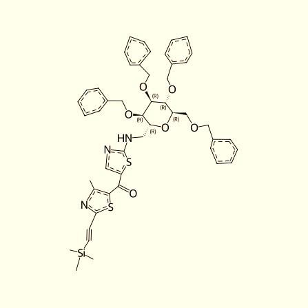 Cc1nc(C#C[Si](C)(C)C)sc1C(=O)c1cnc(NC[C@H]2O[C@H](COCc3ccccc3)[C@@H](OCc3ccccc3)[C@H](OCc3ccccc3)[C@@H]2OCc2ccccc2)s1